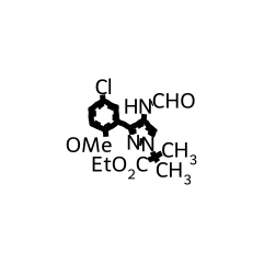 CCOC(=O)C(C)(C)n1cc(NC=O)c(-c2cc(Cl)ccc2OC)n1